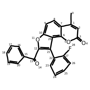 Cc1cc(=O)oc2c1ccc1oc(C(=O)c3ccccc3)c(-c3ccccc3F)c12